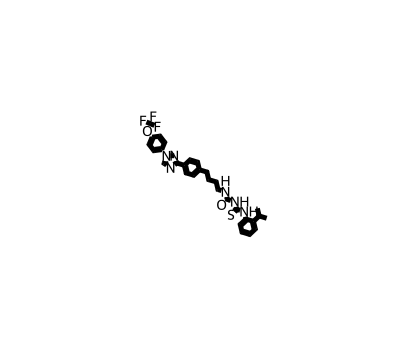 CC(C)c1ccccc1NC(=S)NC(=O)NCCCCc1ccc(-c2ncn(-c3ccc(OC(F)(F)F)cc3)n2)cc1